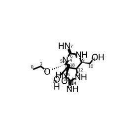 CCO[C@@H]1CN2C(=N)N[C@@H](CO)C3NC(=N)NC32C1(O)O